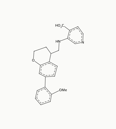 COc1ccccc1-c1ccc2c(c1)OCCC2CNc1cnccc1C(=O)O